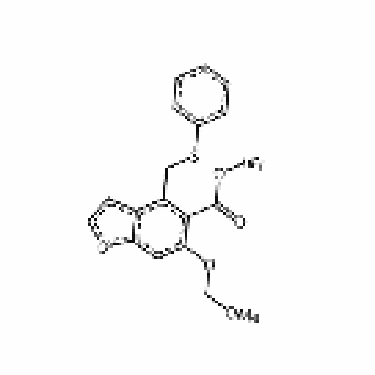 CCCOC(=O)c1c(OCOC)cc2occc2c1CSc1ccccc1